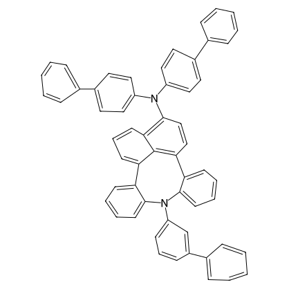 c1ccc(-c2ccc(N(c3ccc(-c4ccccc4)cc3)c3ccc4c5c(cccc35)-c3ccccc3N(c3cccc(-c5ccccc5)c3)c3ccccc3-4)cc2)cc1